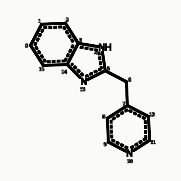 c1ccc2[nH]c(Cc3ccncc3)nc2c1